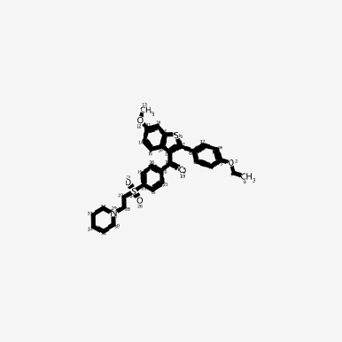 CCOc1ccc(-c2sc3cc(OC)ccc3c2C(=O)c2ccc(S(=O)(=O)CCN3CCCCC3)cc2)cc1